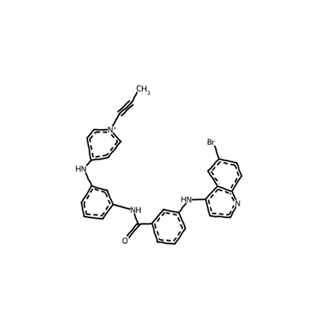 CC#C[n+]1ccc(Nc2cccc(NC(=O)c3cccc(Nc4ccnc5ccc(Br)cc45)c3)c2)cc1